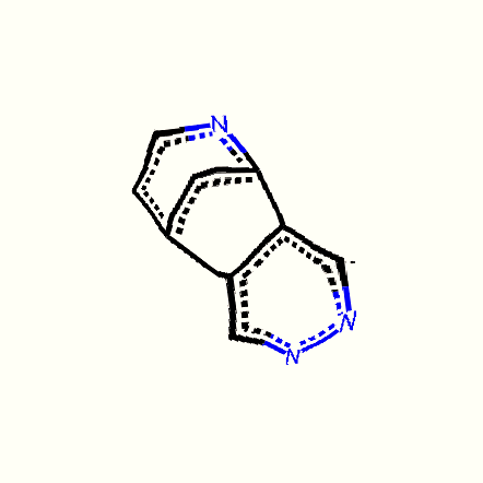 [c]1nncc2c1-c1cc-2ccn1